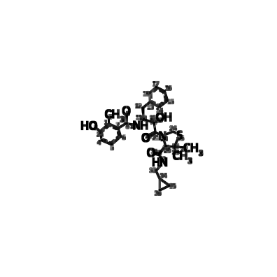 Cc1c(O)cccc1C(=O)N[C@@H](Cc1ccccc1)[C@H](O)C(=O)N1CSC(C)(C)[C@H]1C(=O)NCC1CC1